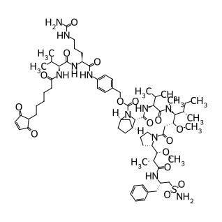 CC[C@H](C)[C@@H]([C@@H](CC(=O)N1CCC[C@H]1[C@H](OC)[C@@H](C)C(=O)N[C@@H](Cc1ccccc1)CS(N)(=O)=O)OC)N(C)C(=O)[C@@H](NC(=O)[C@@H]1[C@H]2CC[C@H](C2)N1C(=O)OCc1ccc(NC(=O)[C@H](CCCNC(N)=O)NC(=O)[C@@H](NC(=O)CCCCCC2C(=O)C=CC2=O)C(C)C)cc1)C(C)C